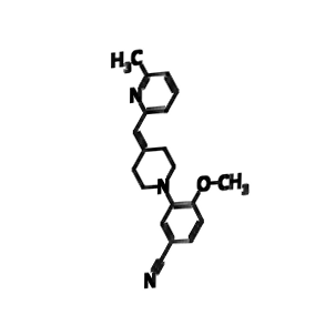 COc1ccc(C#N)cc1N1CCC(=Cc2cccc(C)n2)CC1